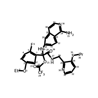 CCOc1ccc(F)c(C(Nc2ccc3c(N)nccc3c2)(OC(=O)C(F)(F)F)C(=O)NCc2ncccc2SC(C)C)c1